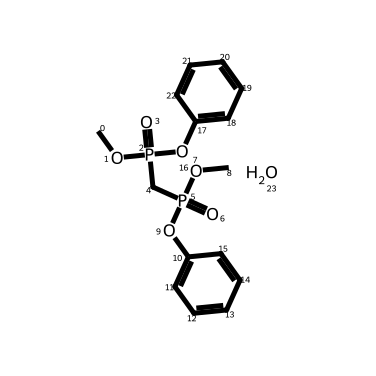 COP(=O)(CP(=O)(OC)Oc1ccccc1)Oc1ccccc1.O